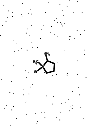 CC(C)[Si]1(C)CCCC1C